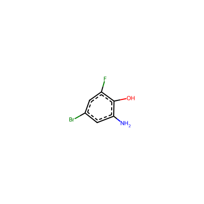 Nc1cc(Br)cc(F)c1O